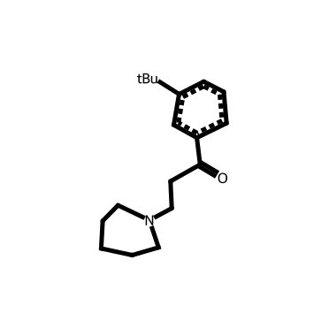 CC(C)(C)c1cccc(C(=O)CCN2CCCCC2)c1